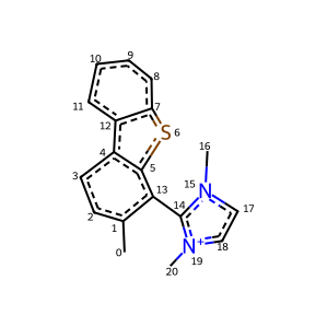 Cc1ccc2c(sc3ccccc32)c1-c1n(C)cc[n+]1C